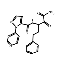 NC(=O)C(=O)C(CCc1ccccc1)NC(=O)c1ccnn1-c1ccncn1